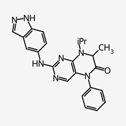 CC(C)N1c2nc(Nc3ccc4[nH]ncc4c3)ncc2N(c2ccccc2)C(=O)C1C